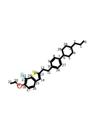 CCCC1CCC(c2ccc(CCc3cc4ccc(OCC)c(F)c4s3)cc2)CC1